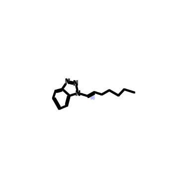 CCCCC/C=C/n1nnc2ccccc21